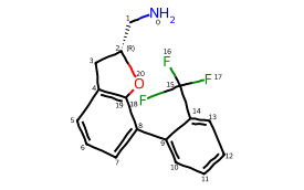 NC[C@H]1Cc2cccc(-c3ccccc3C(F)(F)F)c2O1